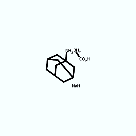 BC(=O)O.NC12CC3CC(CC(C3)C1)C2.[NaH]